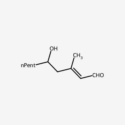 CCCCCC(O)C/C(C)=C/C=O